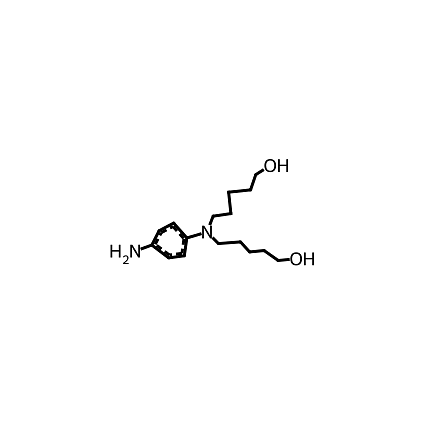 Nc1ccc(N(CCCCCO)CCCCCO)cc1